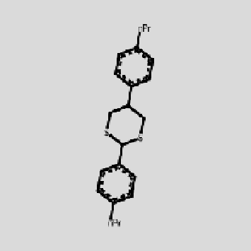 CCCc1ccc(C2CSC(c3ccc(CCC)cc3)SC2)cc1